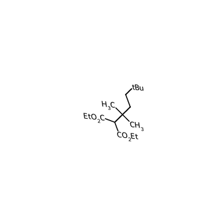 CCOC(=O)C(C(=O)OCC)C(C)(C)CCC(C)(C)C